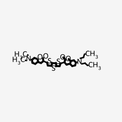 CCCCN(CCCC)c1ccc2cc(-c3cc4sc5cc(-c6cc7ccc(N(CC)CC)cc7oc6=O)sc5c4s3)c(=O)oc2c1